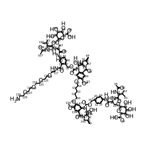 C=C1C[C@H]2[C@H](O)N(C(=O)OCc3ccc(NC(=O)[C@H](CO[C@@H]4O[C@H](C(=O)O)[C@@H](O)[C@H](O)[C@H]4O)NC(=O)[C@@H](NC(C)=O)C(C)C)cc3)c3cc(OCCCCCOc4cc5c(cc4OC)C(=O)N4CC(=C)C[C@H]4[C@H](O)N5C(=O)OCc4ccc(NC(=O)[C@H](CO[C@@H]5O[C@H](C(=O)O)[C@@H](O)[C@H](O)[C@H]5O)NC(=O)[C@@H](NC(C)=O)C(C)C)cc4C(=O)NCCOCCOCCOCCOCCN)c(OC)cc3C(=O)N2C1